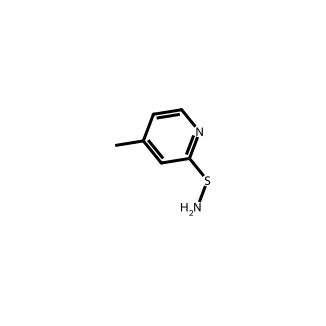 Cc1ccnc(SN)c1